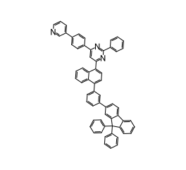 c1ccc(-c2nc(-c3ccc(-c4cccnc4)cc3)cc(-c3ccc(-c4cccc(-c5ccc6c(c5)C(c5ccccc5)(c5ccccc5)c5ccccc5-6)c4)c4ccccc34)n2)cc1